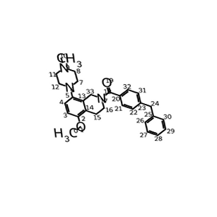 COc1ccc(N2CCN(C)CC2)c2c1CCN(C(=O)c1ccc(Cc3ccccc3)cc1)C2